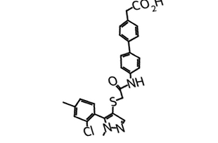 Cc1ccc(-c2c(SCC(=O)Nc3ccc(-c4ccc(CC(=O)O)cc4)cc3)cnn2C)c(Cl)c1